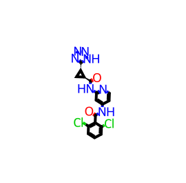 O=C(Nc1ccnc(NC(=O)[C@H]2C[C@@H]2c2nnn[nH]2)c1)c1c(Cl)cccc1Cl